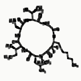 CCCCCCC1OC(=O)CNC(=O)[C@H]([C@H](C)O)NC(=O)[C@H](CN)NC(=O)[C@H]([C@H](C)CC)NC(=O)[C@H](CC(C)C)N(C)C(=O)C1(F)F